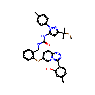 CSC(C)(C)c1cc(NC(=O)NCc2ccccc2Sc2ccc3nnc(-c4ccc(C)cc4O)n3c2)n(-c2ccc(C)cc2)n1